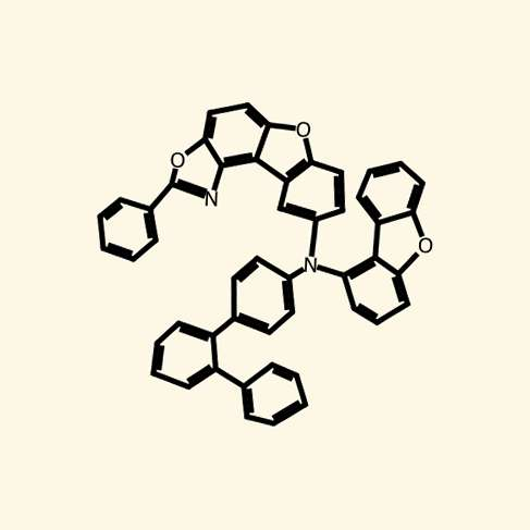 c1ccc(-c2nc3c(ccc4oc5ccc(N(c6ccc(-c7ccccc7-c7ccccc7)cc6)c6cccc7oc8ccccc8c67)cc5c43)o2)cc1